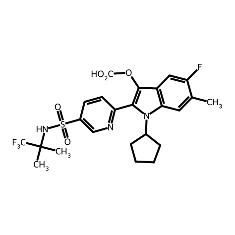 Cc1cc2c(cc1F)c(OC(=O)O)c(-c1ccc(S(=O)(=O)NC(C)(C)C(F)(F)F)cn1)n2C1CCCC1